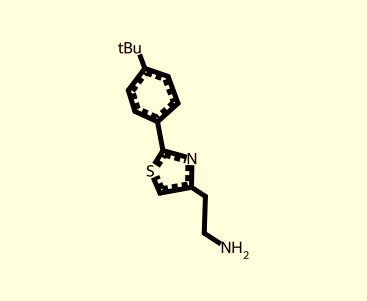 CC(C)(C)c1ccc(-c2nc(CCN)cs2)cc1